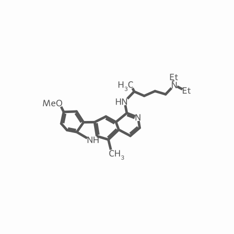 CCN(CC)CCCC(C)Nc1nccc2c(C)c3[nH]c4ccc(OC)cc4c3cc12